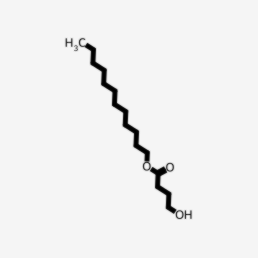 CCCCCCCCCCCCOC(=O)CCCO